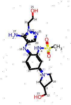 CS(=O)(=O)NC1=CC(=[N+]2\CCC(CO)C2)/C=CC/1=N/c1cnn(CCO)c1N